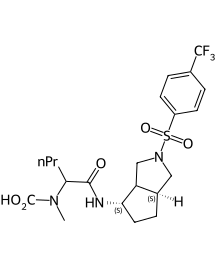 CCCC(C(=O)N[C@H]1CC[C@@H]2CN(S(=O)(=O)c3ccc(C(F)(F)F)cc3)CC21)N(C)C(=O)O